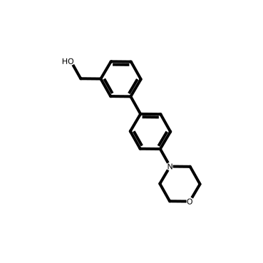 OCc1cccc(-c2ccc(N3CCOCC3)cc2)c1